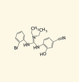 CC[N+](CC)=C(Nc1ccc(C#N)cc1O)Nc1ccccc1Br